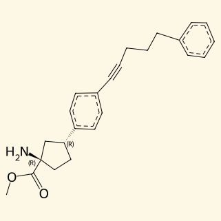 COC(=O)[C@@]1(N)CC[C@@H](c2ccc(C#CCCCc3ccccc3)cc2)C1